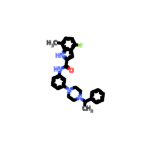 Cc1ccc(F)c2cc(C(=O)Nc3cccc(N4CCN(C(C)c5ccccc5)CC4)c3)[nH]c12